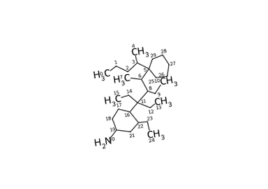 CCCC(C)C1(C(C)C(CC)C(CC)(CC)C2CCC(N)CC2CC)CCCCC1